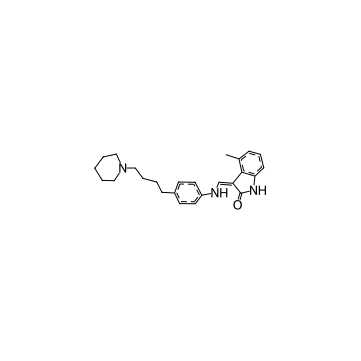 Cc1cccc2c1C(=CNc1ccc(CCCCN3CCCCC3)cc1)C(=O)N2